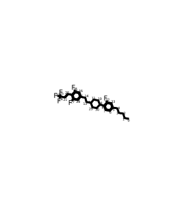 CCCCCc1ccc(C2CCC(CCc3cc(F)c(/C=C/C(F)(F)F)c(F)c3)CC2)c(F)c1